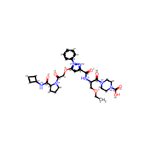 CCOCC(NC(=O)c1cc(OCC(=O)N2CCCC2C(=O)NC2CCC2)n(-c2ccccc2)n1)C(=O)N1CCN(C(=O)O)CC1